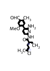 C=C/C(=C\C=C(/C)Cl)C(=O)Nc1ccc(-c2cc(C)c(C=O)cc2OC)c(N)n1